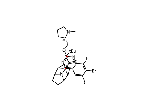 CN1CCC[C@H]1COc1nc(N2C3CCC2C2CCC3N2C(=O)OC(C)(C)C)c2cc(Cl)c(Br)c(F)c2n1